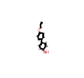 C=CCOc1ccc(C2=CCC(O)C=C2)cc1